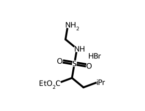 Br.CCOC(=O)C(CC(C)C)S(=O)(=O)NCN